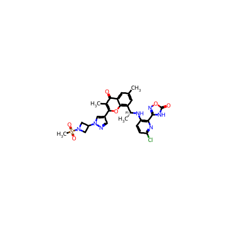 Cc1cc([C@@H](C)Nc2ccc(Cl)nc2-c2noc(=O)[nH]2)c2oc(-c3cnn(C4CN(S(C)(=O)=O)C4)c3)c(C)c(=O)c2c1